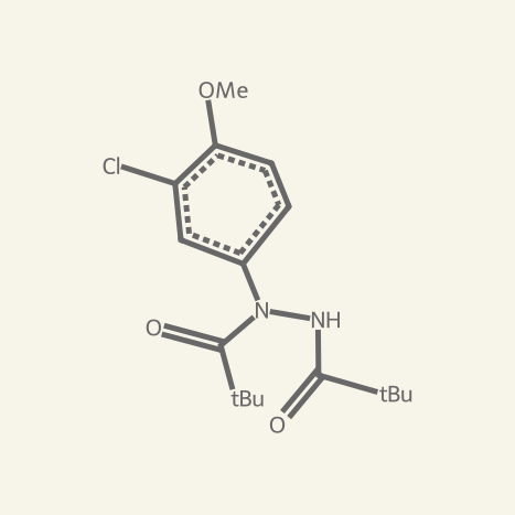 COc1ccc(N(NC(=O)C(C)(C)C)C(=O)C(C)(C)C)cc1Cl